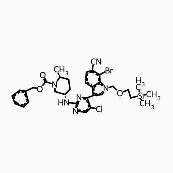 C[C@H]1CC[C@H](Nc2ncc(Cl)c(-c3cn(COCC[Si](C)(C)C)c4c(Br)c(C#N)ccc34)n2)CN1C(=O)OCc1ccccc1